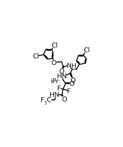 CC(C)[C@H](NC(=O)[C@H](Cc1ccc(Cl)cc1)NC(=O)COc1cc(Cl)cc(Cl)c1)C(=O)C(F)(F)C(=O)NCC(F)(F)F